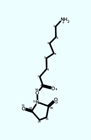 NCCCCCCCC(=O)ON1C(=O)CCC1=O